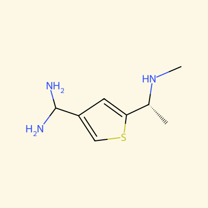 CN[C@H](C)c1cc(C(N)N)cs1